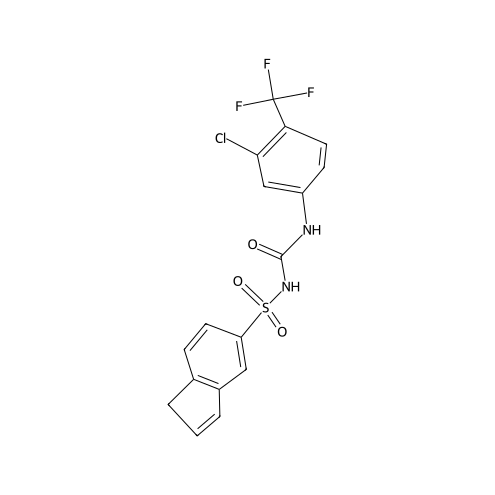 O=C(Nc1ccc(C(F)(F)F)c(Cl)c1)NS(=O)(=O)c1ccc2c(c1)C=CC2